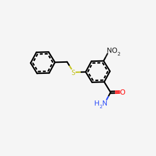 NC(=O)c1cc(SCc2ccccc2)cc([N+](=O)[O-])c1